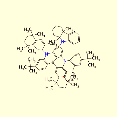 Cc1cc2c(cc1N1c3cc(C(C)(C)C)ccc3B3c4cc5c(cc4N(c4ccc(C(C)(C)C)cc4-c4ccccc4)c4cc(N6c7ccccc7C7(C)CCCCC67C)cc1c43)C(C)(C)CCC5(C)C)C(C)(C)CCC2(C)C